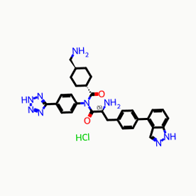 Cl.NC[C@H]1CC[C@H](C(=O)N(C(=O)[C@@H](N)Cc2ccc(-c3cccc4[nH]ncc34)cc2)c2ccc(-c3nn[nH]n3)cc2)CC1